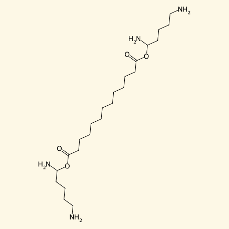 NCCCCC(N)OC(=O)CCCCCCCCCCCC(=O)OC(N)CCCCN